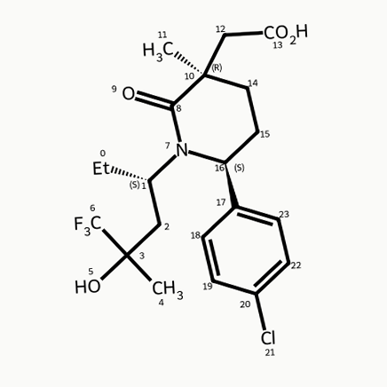 CC[C@@H](CC(C)(O)C(F)(F)F)N1C(=O)[C@@](C)(CC(=O)O)CC[C@H]1c1ccc(Cl)cc1